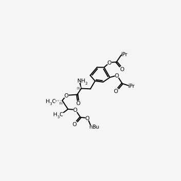 CCCCOC(=O)OC(C)[C@H](C)OC(=O)[C@@H](N)Cc1ccc(OC(=O)C(C)C)c(OC(=O)C(C)C)c1